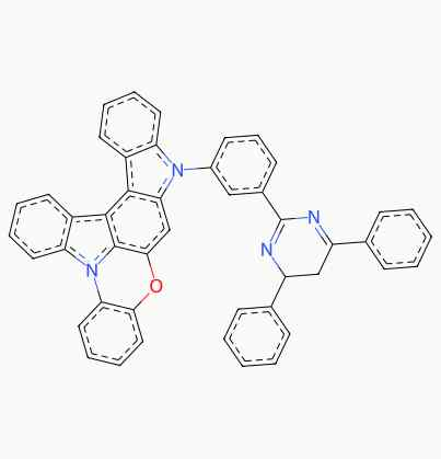 c1ccc(C2=NC(c3cccc(-n4c5ccccc5c5c6c7ccccc7n7c6c(cc54)Oc4ccccc4-7)c3)=NC(c3ccccc3)C2)cc1